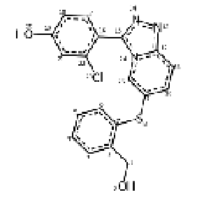 OCc1ccccc1Sc1ccc2nnc(-c3ccc(O)cc3Cl)n2c1